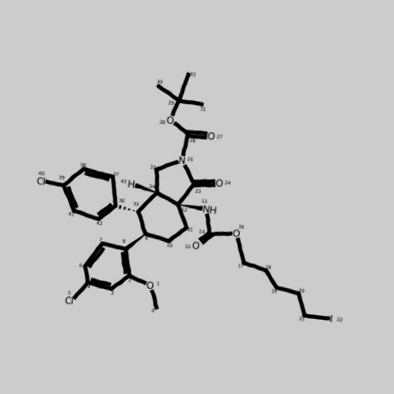 COc1cc(Cl)ccc1[C@@H]1CC[C@@]2(NC(=O)OCCCCCI)C(=O)N(C(=O)OC(C)(C)C)C[C@H]2[C@H]1c1ccc(Cl)cc1